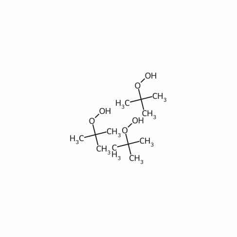 CC(C)(C)OO.CC(C)(C)OO.CC(C)(C)OO